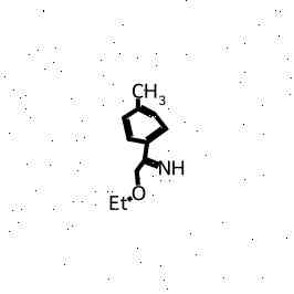 CCOCC(=N)c1ccc(C)cc1